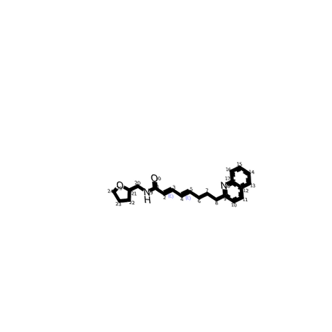 O=C(/C=C/C=C/CCCc1ccc2ccccc2n1)NCC1CCCO1